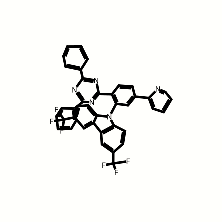 FC(F)(F)c1ccc2c(c1)c1cc(C(F)(F)F)ccc1n2-c1cc(-c2ccccn2)ccc1-c1nc(-c2ccccc2)nc(-c2ccccc2)n1